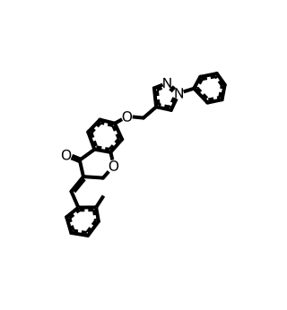 Cc1ccccc1/C=C1\COc2cc(OCc3cnn(-c4ccccc4)c3)ccc2C1=O